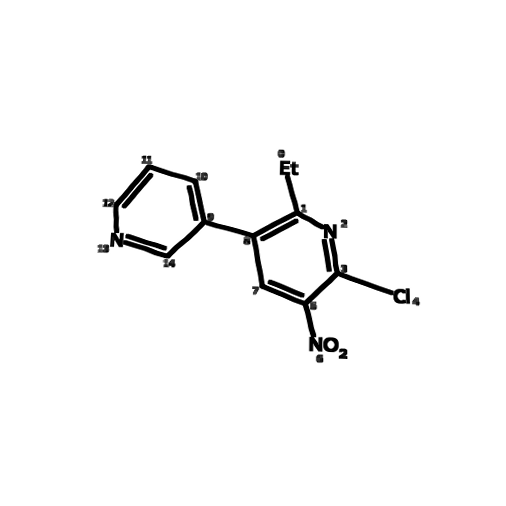 CCc1nc(Cl)c([N+](=O)[O-])cc1-c1cccnc1